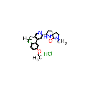 CCOc1ccc(F)c(-c2cc([C@@H]3CC[C@@]4(CCN(C)C4=O)N3)ncc2C)c1.Cl